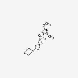 COc1cc(S(=O)(=O)N2CC3(CCC(N4CCOCC4)C3)C2)n(C)n1